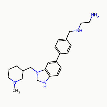 CN1CCCC(CN2CNc3ccc(-c4ccc(CNCCN)cc4)cc32)C1